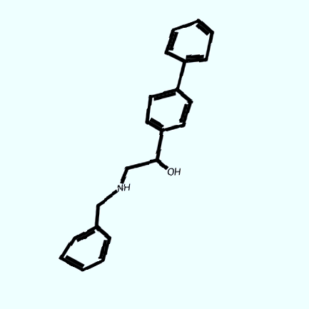 OC(CNCc1ccccc1)c1ccc(-c2ccccc2)cc1